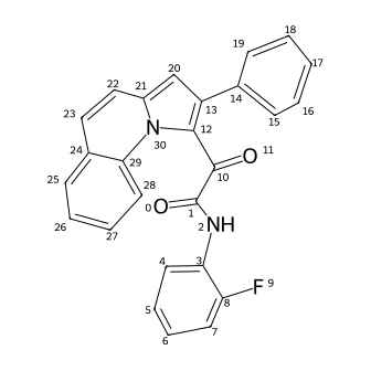 O=C(Nc1ccccc1F)C(=O)c1c(-c2ccccc2)cc2ccc3ccccc3n12